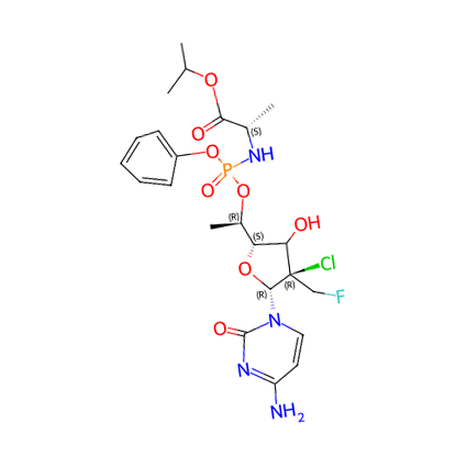 CC(C)OC(=O)[C@H](C)NP(=O)(Oc1ccccc1)O[C@H](C)[C@H]1O[C@@H](n2ccc(N)nc2=O)[C@@](Cl)(CF)C1O